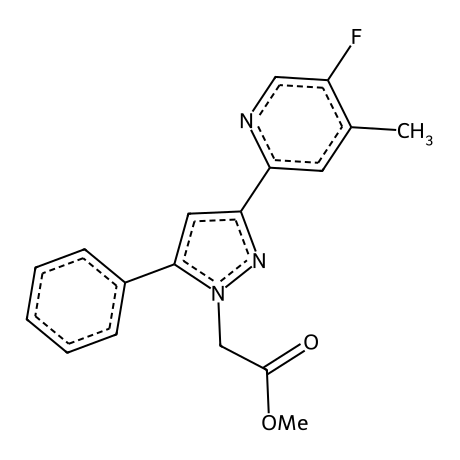 COC(=O)Cn1nc(-c2cc(C)c(F)cn2)cc1-c1ccccc1